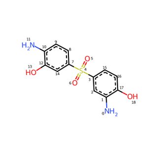 Nc1cc(S(=O)(=O)c2ccc(N)c(O)c2)ccc1O